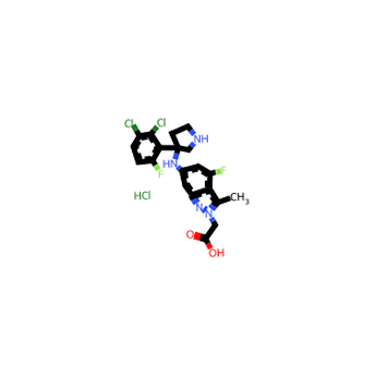 Cc1c2c(F)cc(NC3(c4c(F)ccc(Cl)c4Cl)CCNC3)cc2nn1CC(=O)O.Cl